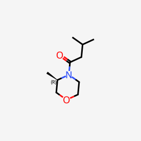 CC(C)CC(=O)N1CCOC[C@H]1C